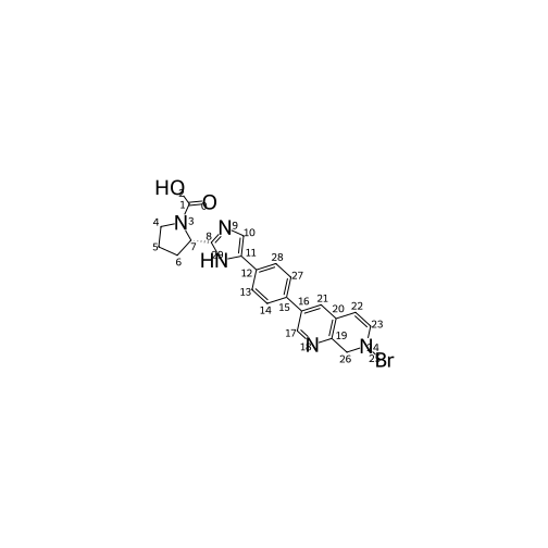 O=C(O)N1CCC[C@H]1c1ncc(-c2ccc(-c3cnc4c(c3)C=CN(Br)C4)cc2)[nH]1